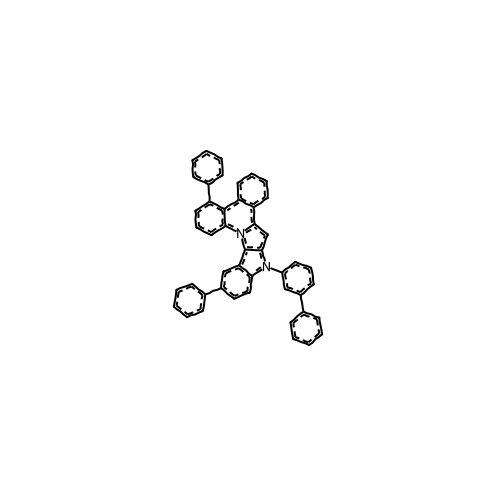 c1ccc(-c2cccc(-n3c4ccc(-c5ccccc5)cc4c4c3cc3c5ccccc5c5c(-c6ccccc6)cccc5n34)c2)cc1